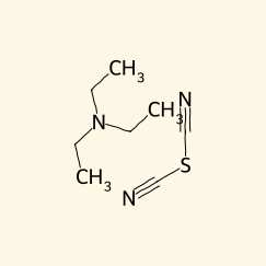 CCN(CC)CC.N#CSC#N